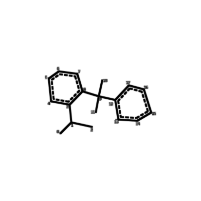 CC(C)c1ccccc1C(C)(C)c1[c]cccc1